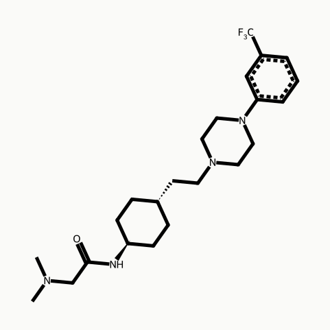 CN(C)CC(=O)N[C@H]1CC[C@H](CCN2CCN(c3cccc(C(F)(F)F)c3)CC2)CC1